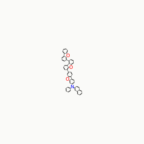 c1ccc(N(c2ccc3ccccc3c2)c2ccc3c(c2)oc2cc(-c4cccc5c4oc4cccc(-c6cccc7c6oc6ccccc67)c45)ccc23)cc1